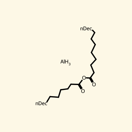 CCCCCCCCCCCCCCCCCC(=O)OC(=O)CCCCCCCCCCCCCCC.[AlH3]